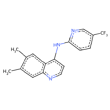 Cc1cc2nccc(Nc3ccc(C(F)(F)F)cn3)c2cc1C